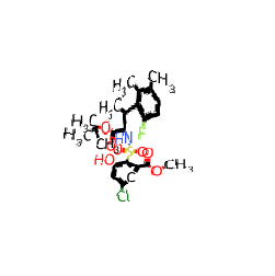 COC(=O)c1cc(Cl)cc(O)c1S(=O)(=O)N[C@H](C(=O)OC(C)(C)C)C(C)c1c(F)ccc(C)c1C